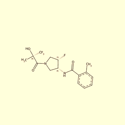 Cc1ccccc1C(=O)N[C@@H]1CN(C(=O)[C@@](C)(O)C(F)(F)F)C[C@@H]1F